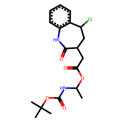 CC(NC(=O)OC(C)(C)C)OC(=O)CC1CC(Cl)c2ccccc2NC1=O